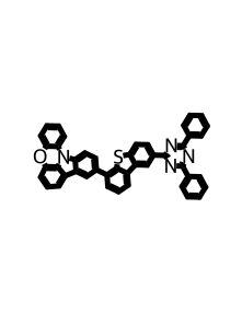 c1ccc(-c2nc(-c3ccccc3)nc(-c3ccc4sc5c(-c6ccc7c(c6)c6cccc8c6n7-c6ccccc6O8)cccc5c4c3)n2)cc1